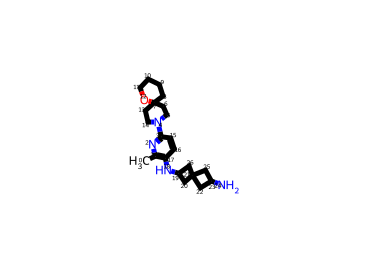 Cc1nc(N2CCC3(CCCCO3)CC2)ccc1NC1CC2(CC(N)C2)C1